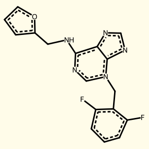 Fc1cccc(F)c1Cn1cnc(NCc2ccco2)c2ncnc1-2